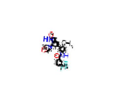 Cc1ccc(NC(=O)c2cccc(C(F)(F)F)c2)cc1-c1cc2c(c(N3CCOCC3)c1)NC(=O)C2